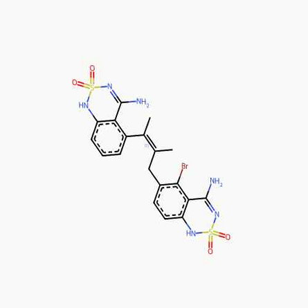 C/C(Cc1ccc2c(c1Br)C(N)=NS(=O)(=O)N2)=C(\C)c1cccc2c1C(N)=NS(=O)(=O)N2